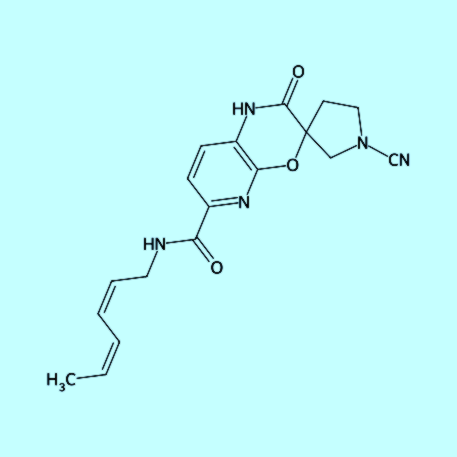 C/C=C\C=C/CNC(=O)c1ccc2c(n1)OC1(CCN(C#N)C1)C(=O)N2